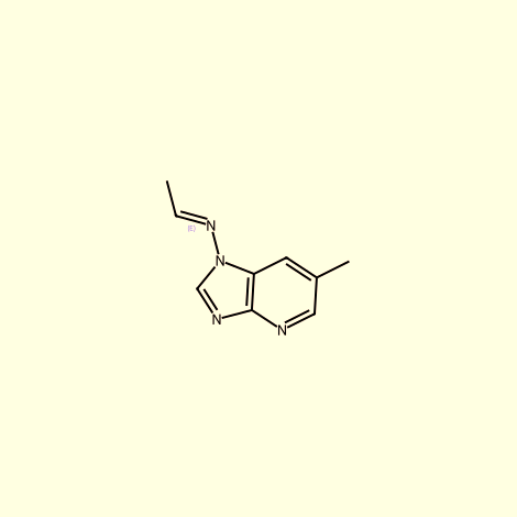 C/C=N/n1cnc2ncc(C)cc21